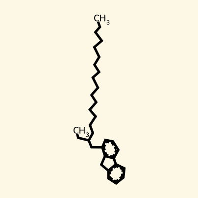 CCCCCCCCCCCCCCCCC(CC)Cc1cccc2c1Cc1ccccc1-2